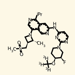 [2H]C([2H])([2H])O[C@H]1CCN(c2nccc(Nc3cc4c(C(C)C)ncc(N5C[C@H](CS(C)(=O)=O)[C@H]5C)c4cn3)n2)C[C@H]1F